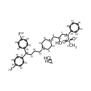 CS(=O)(=O)N(CC(O)CN1CCN(CCCC(c2ccc(F)cc2)c2ccc(F)cc2)CC1)c1ccccc1.Cl.Cl